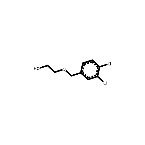 OCCOCc1ccc(Cl)c(Cl)c1